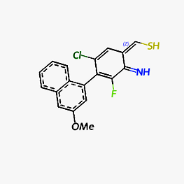 COc1cc(C2=C(F)C(=N)/C(=C\S)C=C2Cl)c2ccccc2c1